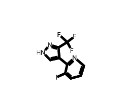 FC(F)(F)c1n[nH][c]c1-c1ncccc1I